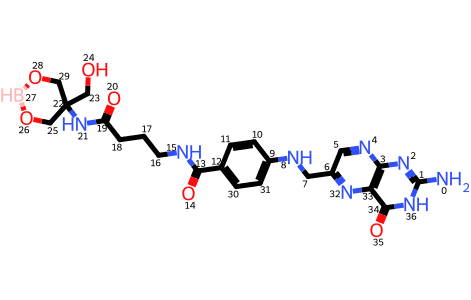 Nc1nc2ncc(CNc3ccc(C(=O)NCCCC(=O)NC4(CO)COBOC4)cc3)nc2c(=O)[nH]1